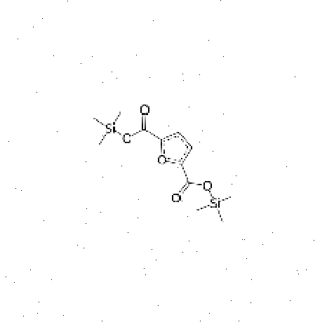 C[Si](C)(C)OC(=O)c1ccc(C(=O)O[Si](C)(C)C)o1